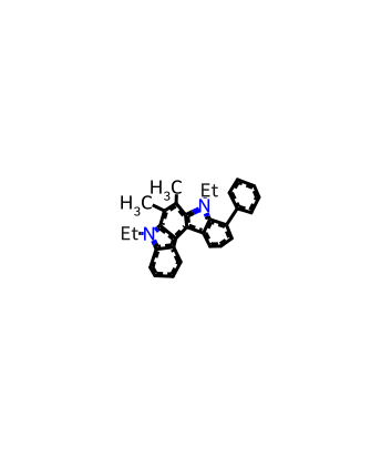 CCn1c2ccccc2c2c3c4cccc(-c5ccccc5)c4n(CC)c3c(C)c(C)c21